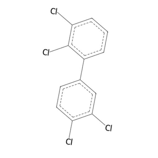 Clc1ccc(-c2cccc(Cl)c2Cl)cc1Cl